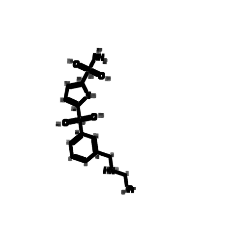 CC(C)CNCc1cccc(S(=O)(=O)c2ccc(S(N)(=O)=O)s2)c1